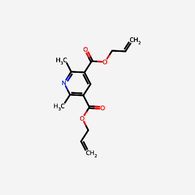 C=CCOC(=O)c1cc(C(=O)OCC=C)c(C)nc1C